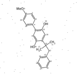 COc1ccc(-c2cc(O)c(C(C)(C)Cc3ccccc3)cc2O)cc1